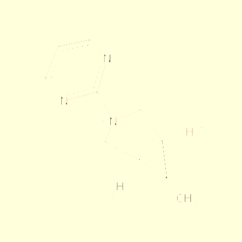 C[C@@H]1[C@H]2CN(c3ncccn3)C[C@@H]12